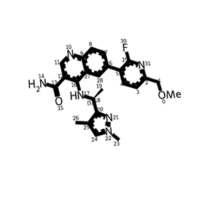 COCc1ccc(-c2ccc3ncc(C(N)=O)c(N[C@@H](C)c4nn(C)cc4C)c3c2)c(F)n1